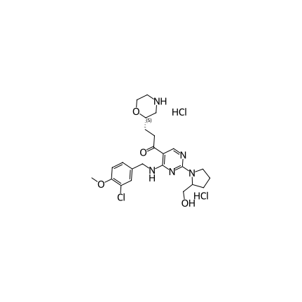 COc1ccc(CNc2nc(N3CCCC3CO)ncc2C(=O)CC[C@H]2CNCCO2)cc1Cl.Cl.Cl